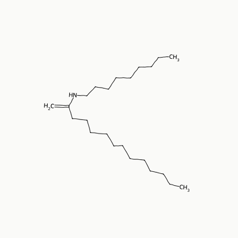 C=C(CCCCCCCCCCCC)NCCCCCCCCC